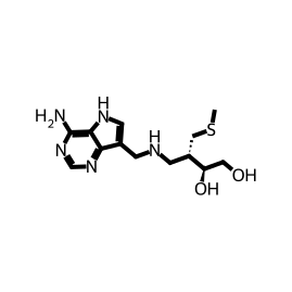 CSC[C@@H](CNCc1c[nH]c2c(N)ncnc12)[C@H](O)CO